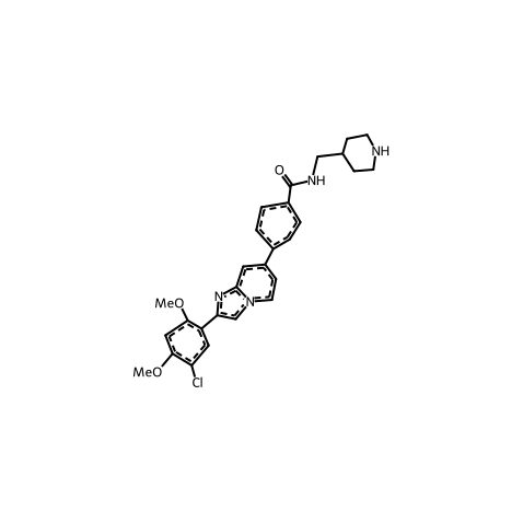 COc1cc(OC)c(-c2cn3ccc(-c4ccc(C(=O)NCC5CCNCC5)cc4)cc3n2)cc1Cl